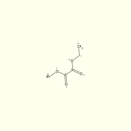 CC(C)OC(=O)C(=O)OCC(F)(F)F